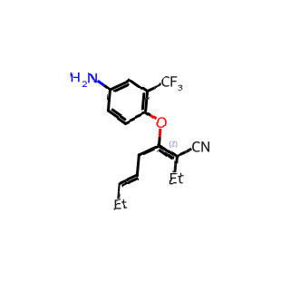 CCC=CC/C(Oc1ccc(N)cc1C(F)(F)F)=C(/C#N)CC